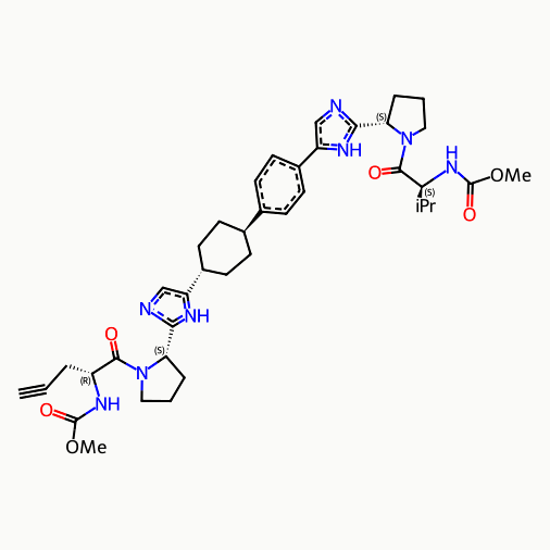 C#CC[C@@H](NC(=O)OC)C(=O)N1CCC[C@H]1c1ncc([C@H]2CC[C@H](c3ccc(-c4cnc([C@@H]5CCCN5C(=O)[C@@H](NC(=O)OC)C(C)C)[nH]4)cc3)CC2)[nH]1